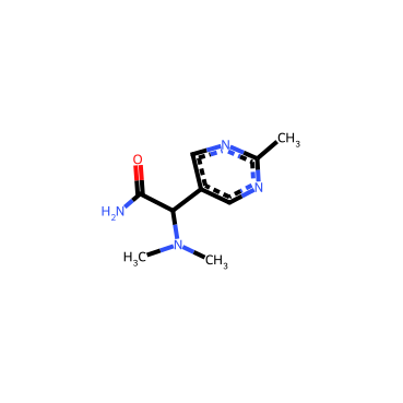 Cc1ncc(C(C(N)=O)N(C)C)cn1